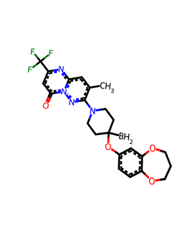 BC1(Oc2ccc3c(c2)OCCCO3)CCN(c2nn3c(=O)cc(C(F)(F)F)nc3cc2C)CC1